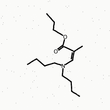 CCCCN(C=C(C)C(=O)OCCC)CCCC